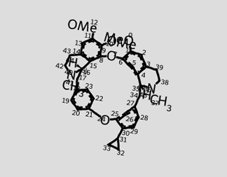 COc1cc2c3cc1Oc1c(OC)c(OC)cc4c1[C@H](Cc1ccc(cc1)Oc1cc(ccc1C1CC1)C[C@H]3N(C)CC2)N(C)CC4